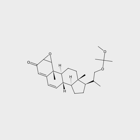 COC(C)(C)OCC(C)[C@H]1CC[C@H]2[C@@H]3C=CC4=CC(=O)C5OC5[C@]4(C)[C@H]3CC[C@]12C